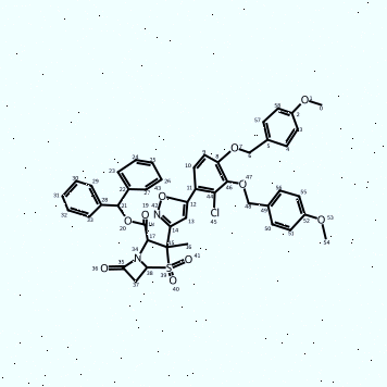 COc1ccc(COc2ccc(-c3cc(C4(C)C(C(=O)OC(c5ccccc5)c5ccccc5)N5C(=O)CC5S4(=O)=O)no3)c(Cl)c2OCc2ccc(OC)cc2)cc1